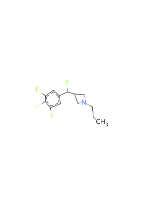 CCCN1CC(C(F)c2cc(F)c(F)c(F)c2)C1